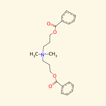 C[N+](C)(CCCOC(=O)c1ccccc1)CCCOC(=O)c1ccccc1